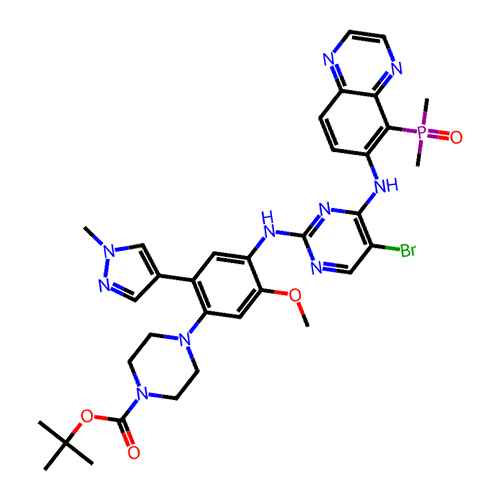 COc1cc(N2CCN(C(=O)OC(C)(C)C)CC2)c(-c2cnn(C)c2)cc1Nc1ncc(Br)c(Nc2ccc3nccnc3c2P(C)(C)=O)n1